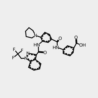 O=C(O)c1cccc(NC(=O)c2ccc(N3CCCCC3)c(NC(=O)c3nn(CC(F)(F)F)c4ccccc34)c2)c1